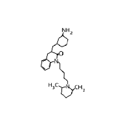 CC1CCCC(C)N1CCCCCN1C(=O)C(CC2CCCC(N)C2)Cc2ccccc21